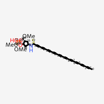 CC#CC#CC#CC#CC#CC#CC#CC#CC#CC#CC(=S)N[C@@H]1C[C@H](COC)C(OP(=O)(O)OC)[C@@H]1OC